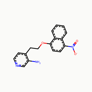 Nc1cnccc1CCOc1ccc([N+](=O)[O-])c2ccccc12